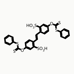 O=S(=O)(O)c1cc(OC(=S)Sc2ccccc2)ccc1C=Cc1ccc(OC(=S)Sc2ccccc2)cc1S(=O)(=O)O